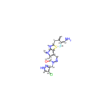 C=C(Cc1nc2c(s1)c(/C=N\N(C=O)Cc1n[nH]cc1Cl)c(C)n2C)/C(F)=C\N